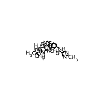 Cc1ncc(C(=O)Nc2ccc(F)c([C@@]3(C)N=C(NC(=O)OC(C)(C)C)C(C)(C)[S@@]4(=O)=NCC[C@@H]34)c2)cn1